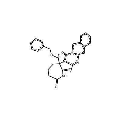 Cc1nc2cc3ccccc3cc2c(=O)n1C1(C(=O)OCc2ccccc2)CCCC(=O)NC1=O